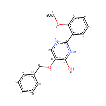 CCCCCCCCOc1ccccc1-c1ncc(OCc2ccccc2)c(O)n1